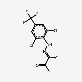 CC(=O)C(Cl)=NNc1c(Cl)cc(C(F)(F)F)cc1Cl